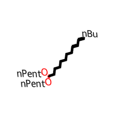 CCCCC=CC=CCCCCCCCC(OCCCCC)OCCCCC